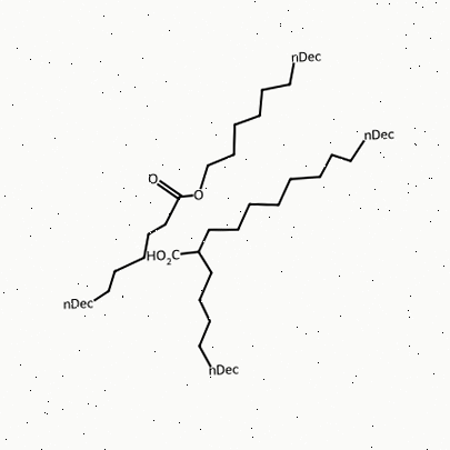 CCCCCCCCCCCCCCCCCCC(CCCCCCCCCCCCCC)C(=O)O.CCCCCCCCCCCCCCCCOC(=O)CCCCCCCCCCCCCCC